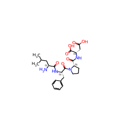 CC(C)C[C@H](N)C(=O)N[C@@H](Cc1ccccc1)C(=O)N1CCC[C@H]1C(=O)N[C@@H](CC(=O)O)C(=O)O